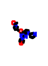 CC(=O)N1CCC(COc2nc(N3CCOCC3)nc3c2CCN3c2cccnc2)C1